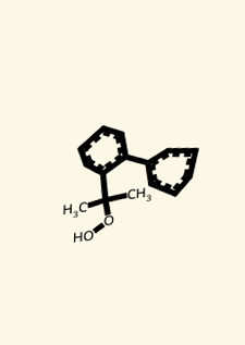 CC(C)(OO)c1ccccc1-c1ccccc1